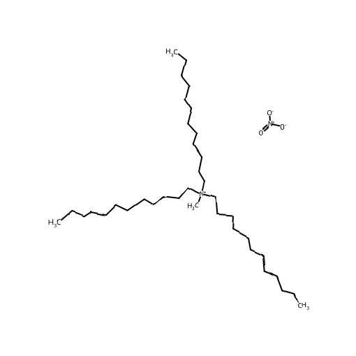 CCCCCCCCCCCC[N+](C)(CCCCCCCCCCCC)CCCCCCCCCCCC.O=[N+]([O-])[O-]